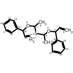 C=CC(OC(C)SC(C)OC(C=C)c1ccccc1)c1ccccc1